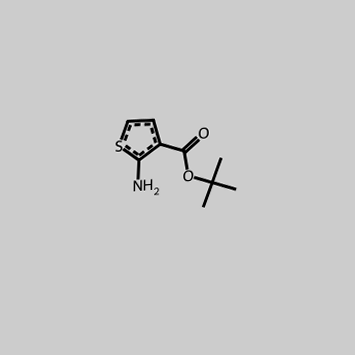 CC(C)(C)OC(=O)c1ccsc1N